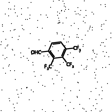 O=Cc1ccc(C(F)(F)F)c(C(F)(F)F)c1C(F)(F)F